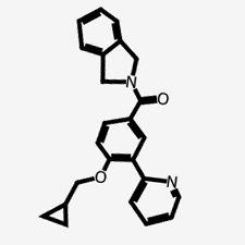 O=C(c1ccc(OCC2CC2)c(-c2ccccn2)c1)N1Cc2ccccc2C1